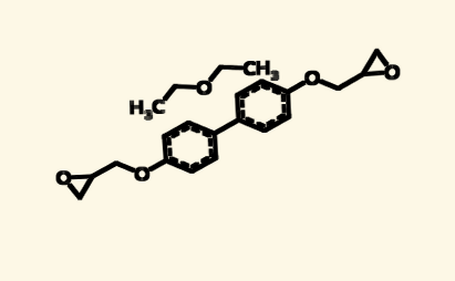 CCOCC.c1cc(-c2ccc(OCC3CO3)cc2)ccc1OCC1CO1